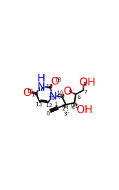 C#C[C@]1(C)[C@H](O)C(CO)O[C@@H]1n1ccc(=O)[nH]c1=O